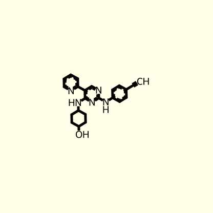 C#Cc1ccc(Nc2ncc(-c3ccccn3)c(NC3CCC(O)CC3)n2)cc1